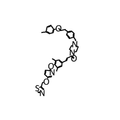 Cc1ccc(OCCc2ccc(CN3CCN(C(=O)C=Cc4cc(C)c(Oc5ccc(OCc6cncs6)cn5)c(C)c4)CC3)cc2)cc1